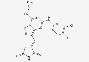 O=C1C/C(=C\c2cnn3c(NC4CC4)cc(Nc4ccc(F)c(Cl)c4)nc23)C(=O)N1